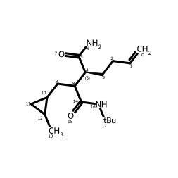 C=CCC[C@H](C(N)=O)C(CC1CC1C)C(=O)NC(C)(C)C